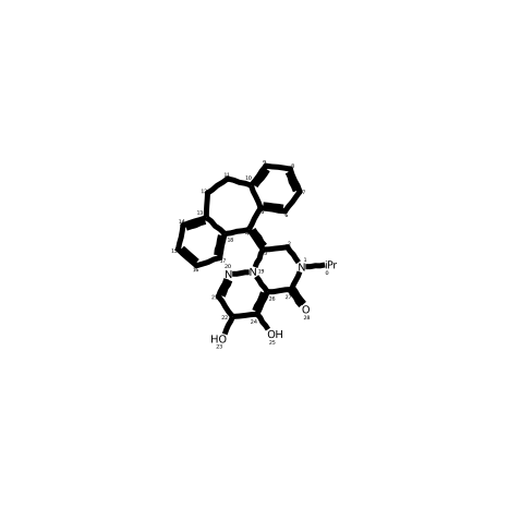 CC(C)N1CC(=C2c3ccccc3CCc3ccccc32)N2N=CC(O)C(O)=C2C1=O